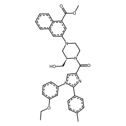 CCOc1cccc(-n2cc(C(=O)N3CCN(c4cc(C(=O)OC)c5ccccc5c4)C[C@@H]3CO)nc2-c2ccc(C)cc2)c1